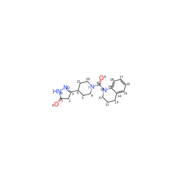 O=C1CC(C2CCN(C(=O)N3CCCc4ccccc43)CC2)=NN1